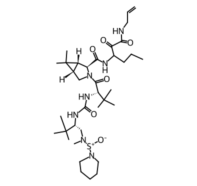 C=CCNC(=O)C(=O)C(CCC)NC(=O)[C@@H]1[C@@H]2[C@H](CN1C(=O)[C@@H](NC(=O)N[C@H](CN(C)[S+]([O-])N1CCCCC1)C(C)(C)C)C(C)(C)C)C2(C)C